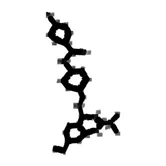 C=Cc1ccc2c(NCc3ccc(NC(=O)c4ccc(F)cc4)cc3)nc(N(C)C)nc2c1